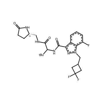 CC(C)(C)C(NC(=O)c1nn(CC2CC(F)(F)C2)c2c(F)cccc12)C(=O)NC[C@@H]1CCC(=O)N1